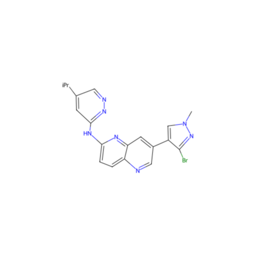 CC(C)c1cnnc(Nc2ccc3ncc(-c4cn(C)nc4Br)cc3n2)c1